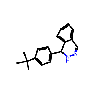 CC(C)(C)c1ccc(C2NN=Cc3ccccc32)cc1